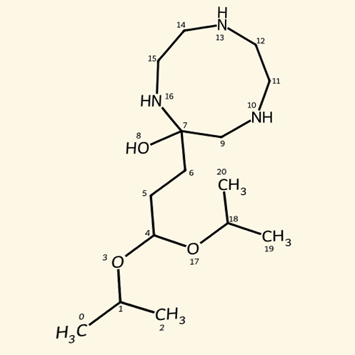 CC(C)OC(CCC1(O)CNCCNCCN1)OC(C)C